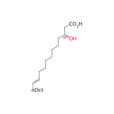 CCCCCCCCC=CCCCCCCC[C@H](O)CC(=O)O